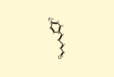 O=CC=CC=Cc1ccc(F)cc1